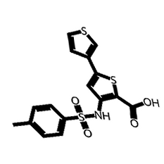 Cc1ccc(S(=O)(=O)Nc2cc(-c3ccsc3)sc2C(=O)O)cc1